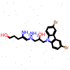 N/C(=C\N(N)CC(O)Cn1c2ccc(Br)cc2c2cc(Br)ccc21)CCCO